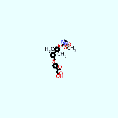 Cc1cc(OCc2nccn2S(C)(=O)=O)cc(C)c1-c1cccc(COc2ccc3c(c2)OCC3CC(=O)O)c1